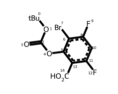 CC(C)(C)OC(=O)Oc1c(Br)c(F)cc(F)c1C(=O)O